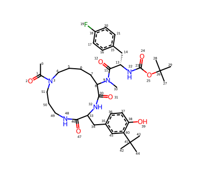 CC(=O)N1CCCCC(N(C)C(=O)[C@H](Cc2ccc(F)cc2)NC(=O)OC(C)(C)C)C(=O)NC(Cc2ccc(O)c(C(C)(C)C)c2)C(=O)NCCC1